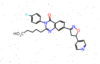 O=C(O)CCCCc1nc2cc(C3=NOC(c4ccncc4)C3)ccc2c(=O)n1-c1ccc(F)cc1